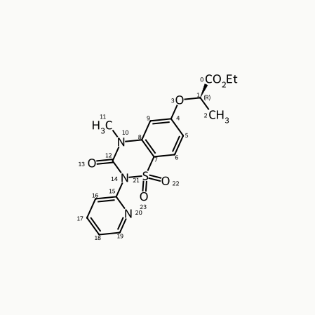 CCOC(=O)[C@@H](C)Oc1ccc2c(c1)N(C)C(=O)N(c1ccccn1)S2(=O)=O